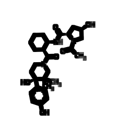 CC(=O)N1C[C@H](O)C[C@H]1C(=O)N[C@@H]1CCCC[C@@H]1C(=O)N1CC[C@](O)(c2ccc(O)cc2)C(C)(C)C1